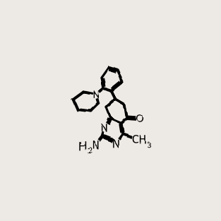 Cc1nc(N)nc2c1C(=O)CC(c1ccccc1N1CCCCC1)C2